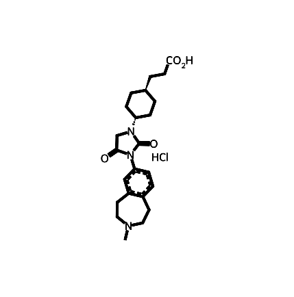 CN1CCc2ccc(N3C(=O)CN([C@H]4CC[C@H](CCC(=O)O)CC4)C3=O)cc2CC1.Cl